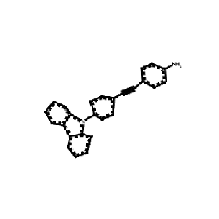 Nc1ccc(C#Cc2ccc(-n3c4ccccc4c4ccccc43)cc2)cc1